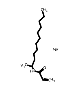 C=CC(=O)NC(C)CCCCCCCCCC.[Na]